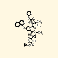 CC[C@@H]1C[C@]1(NC(=O)C1CC(Oc2nccc3ccccc23)CN1C(=O)[C@@H](NC(=O)OC1CCCC1)C(C)(C)C)C(=O)NS(=O)(=O)OC1CC1